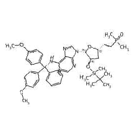 COc1ccc(C(Nc2ncnc3c2ncn3[C@@H]2O[C@H](CCP(C)(C)=O)C[C@H]2O[Si](C)(C)C(C)(C)C)(c2ccccc2)c2ccc(OC)cc2)cc1